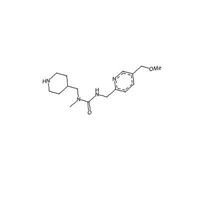 COCc1ccc(CNC(=O)N(C)CC2CCNCC2)nc1